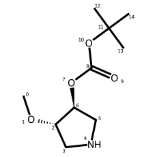 CO[C@H]1CNC[C@@H]1OC(=O)OC(C)(C)C